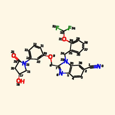 N#Cc1ccc2nc(COc3cccc(N4CC(O)CC4=O)c3)n(Cc3ccccc3OC(F)F)c2c1